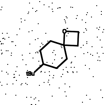 CC(C)(C)C1CCC2(CCO2)CC1